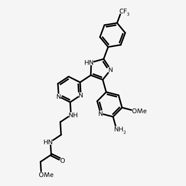 COCC(=O)NCCNc1nccc(-c2[nH]c(-c3ccc(C(F)(F)F)cc3)nc2-c2cnc(N)c(OC)c2)n1